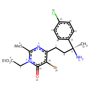 CCOC(=O)Cn1c(SC)nc(CC[C@](C)(N)c2ccc(Cl)cc2)c(Br)c1=O